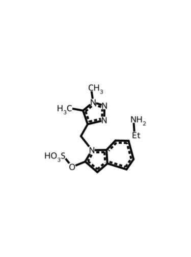 CCN.Cc1c(Cn2c(OS(=O)(=O)O)cc3ccccc32)nnn1C